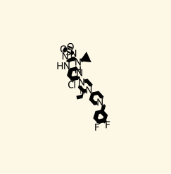 CC[C@H]1CN(c2ncc(NC3=NS(=O)(=O)N=C3NC3CC3)cc2Cl)CCN1C1CCN(Cc2ccc(F)c(F)c2)CC1